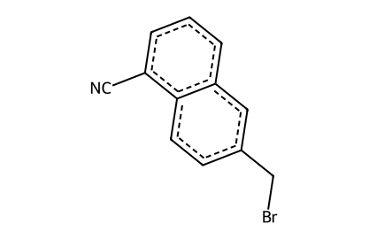 N#Cc1cccc2cc(CBr)ccc12